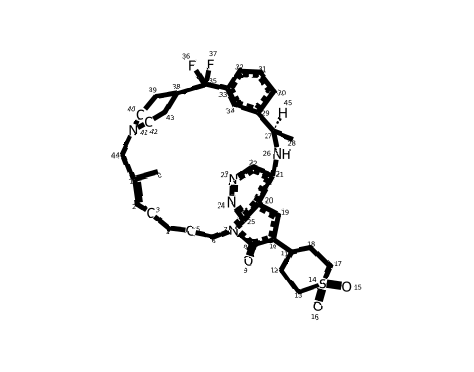 C/C1=C\CCCCn2c(=O)c(C3CCS(=O)(=O)CC3)cc3c(cnnc32)N[C@H](C)c2cccc(c2)C(F)(F)C2CCN(CC2)C1